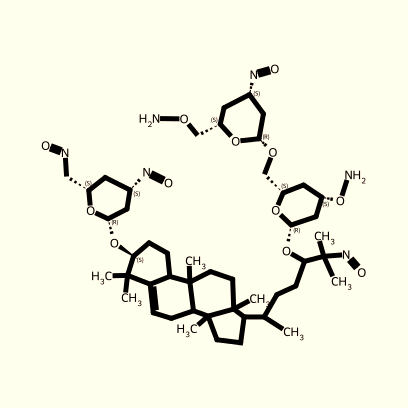 CC(CCC(O[C@H]1C[C@@H](ON)C[C@@H](CO[C@H]2C[C@@H](N=O)C[C@@H](CON)O2)O1)C(C)(C)N=O)C1CCC2(C)C3CC=C4C(CC[C@H](O[C@H]5C[C@@H](N=O)C[C@@H](CN=O)O5)C4(C)C)C3(C)CCC12C